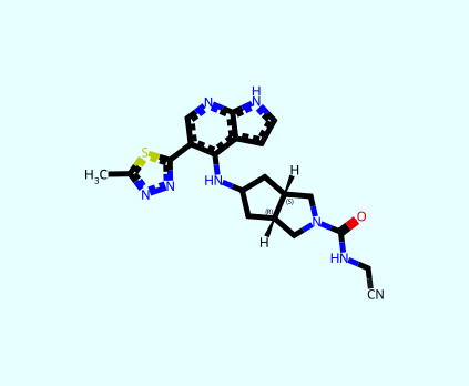 Cc1nnc(-c2cnc3[nH]ccc3c2NC2C[C@@H]3CN(C(=O)NCC#N)C[C@@H]3C2)s1